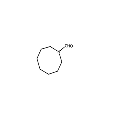 O=[C]N1CCCCCCC1